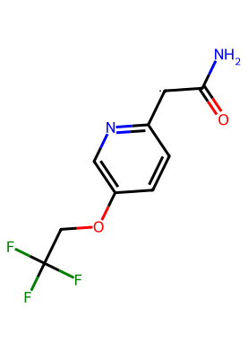 NC(=O)[CH]c1ccc(OCC(F)(F)F)cn1